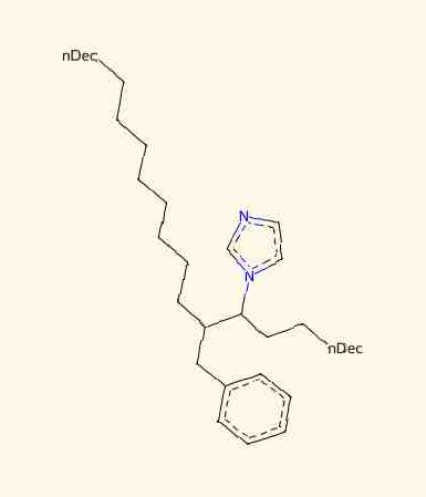 CCCCCCCCCCCCCCCCCCC(Cc1ccccc1)C(CCCCCCCCCCCC)n1ccnc1